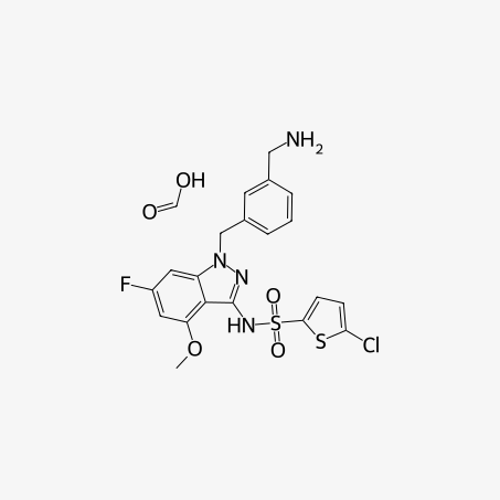 COc1cc(F)cc2c1c(NS(=O)(=O)c1ccc(Cl)s1)nn2Cc1cccc(CN)c1.O=CO